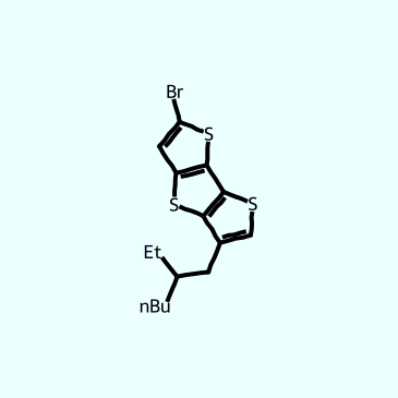 CCCCC(CC)Cc1csc2c1sc1cc(Br)sc12